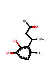 CCC(=O)CC(OC)c1c(C)ccc(O)c1O